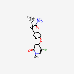 COCC1(C(N)=O)CC1C1CCC(Oc2cc(=O)n(C)cc2Br)CC1